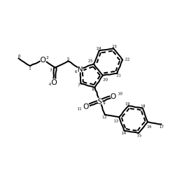 CCOC(=O)Cn1cc(S(=O)(=O)Cc2ccc(C)cc2)c2ccccc21